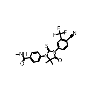 CNC(=O)c1ccc(N2C(=S)N(c3ccc(C#N)c(C(F)(F)F)c3)C(=O)C2(C)C)cc1